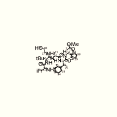 COC(=O)C[C@@H](NC(=O)[C@@H](NC(=O)[C@H](C)/N=C(\NCCO)[C@@H](NC(=O)[C@@H](N)C(C)C)C(C)(C)C)[C@@H](C)c1ccccc1)c1nccs1